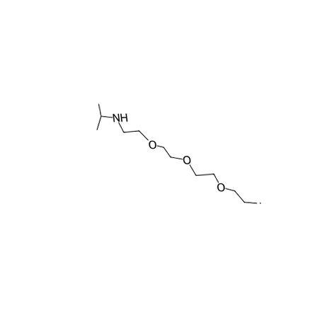 [CH2]CCOCCOCCOCCNC(C)C